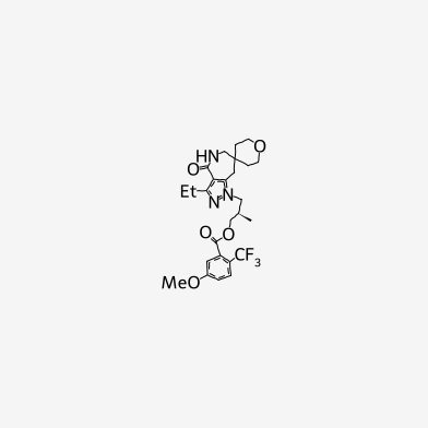 CCc1nn(C[C@@H](C)COC(=O)c2cc(OC)ccc2C(F)(F)F)c2c1C(=O)NCC1(CCOCC1)C2